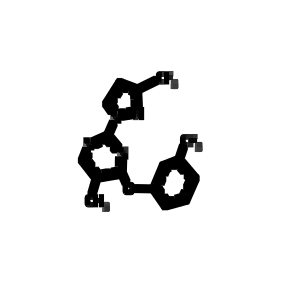 Cc1cnc(-n2ccc(C(F)(F)F)n2)nc1Oc1cccc(C(F)(F)F)c1